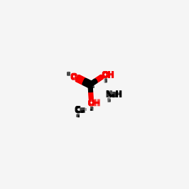 O=C(O)O.[Cu].[NaH]